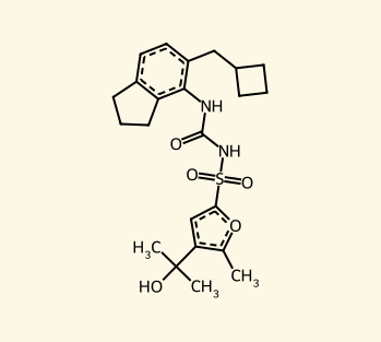 Cc1oc(S(=O)(=O)NC(=O)Nc2c(CC3CCC3)ccc3c2CCC3)cc1C(C)(C)O